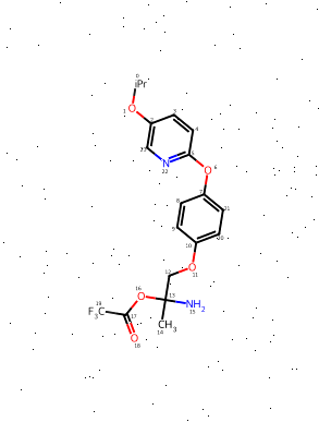 CC(C)Oc1ccc(Oc2ccc(OCC(C)(N)OC(=O)C(F)(F)F)cc2)nc1